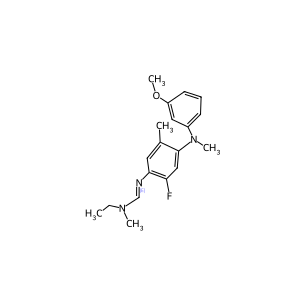 CCN(C)/C=N/c1cc(C)c(N(C)c2cccc(OC)c2)cc1F